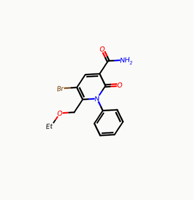 CCOCc1c(Br)cc(C(N)=O)c(=O)n1-c1ccccc1